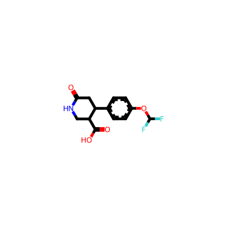 O=C1CC(c2ccc(OC(F)F)cc2)C(C(=O)O)CN1